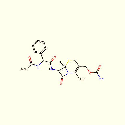 CC(=O)NC(=O)NC(C(=O)NC1C(=O)N2C(C(=O)O)=C(COC(N)=O)CS[C@@H]12)c1ccccc1